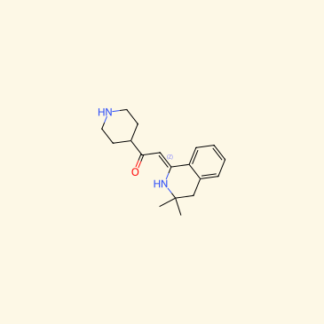 CC1(C)Cc2ccccc2/C(=C/C(=O)C2CCNCC2)N1